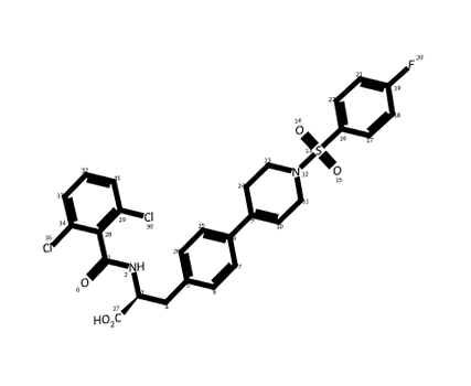 O=C(N[C@@H](Cc1ccc(C2=CCN(S(=O)(=O)c3ccc(F)cc3)CC2)cc1)C(=O)O)c1c(Cl)cccc1Cl